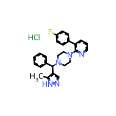 Cc1[nH]ncc1C(c1ccccc1)N1CCN(c2ncccc2-c2ccc(F)cc2)CC1.Cl